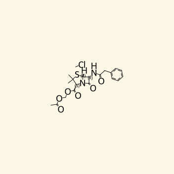 CC(=O)OCOC(=O)[C@@H]1N2C(=O)[C@@H](NC(=O)Cc3ccccc3)[C@H]2SC1(C)C.CCl